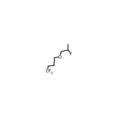 CC(F)COCCCC(F)(F)F